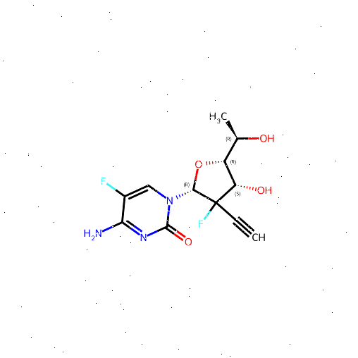 C#CC1(F)[C@@H](O)[C@@H]([C@@H](C)O)O[C@H]1n1cc(F)c(N)nc1=O